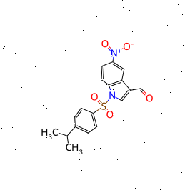 CC(C)c1ccc(S(=O)(=O)n2cc(C=O)c3cc([N+](=O)[O-])ccc32)cc1